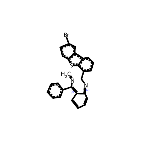 C=N/C(=C1/C=CC=C/C1=N/Cc1cccc2c1sc1ccc(Br)cc12)c1ccccc1